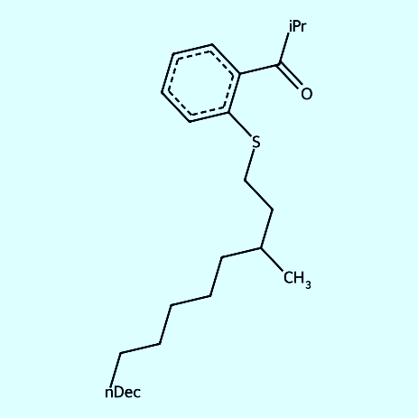 CCCCCCCCCCCCCCCC(C)CCSc1ccccc1C(=O)C(C)C